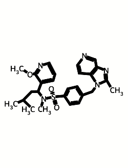 COc1ncccc1C(CC(C)C)N(C)S(=O)(=O)c1ccc(Cn2c(C)nc3cnccc32)cc1